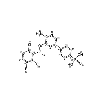 C[C@@H](Oc1cc(-c2ccc(P(=O)(O)O)cc2)cnc1N)c1c(Cl)ccc(F)c1Cl